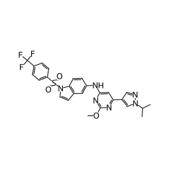 COc1nc(Nc2ccc3c(ccn3S(=O)(=O)c3ccc(C(F)(F)F)cc3)c2)cc(-c2cnn(C(C)C)c2)n1